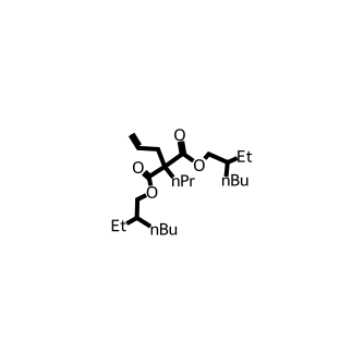 C=CCC(CCC)(C(=O)OCC(CC)CCCC)C(=O)OCC(CC)CCCC